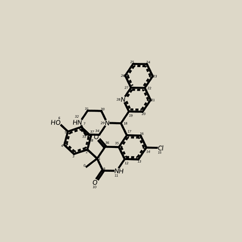 CC1(c2ccc(O)cc2)C(=O)Nc2cc(Cl)cc(C(c3ccc4ccccc4n3)N3CCNCC3)c2C1=O